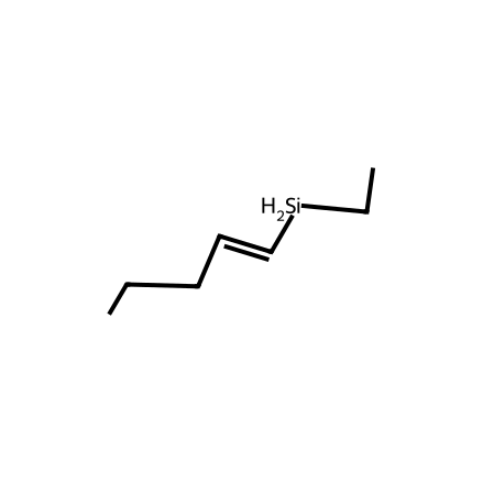 CCC/C=C/[SiH2]CC